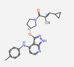 Cc1ccc(Nc2ccnc3[nH]nc(O[C@@H]4CCN(C(=O)/C(C#N)=C/C5CC5)C4)c23)cc1